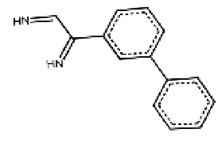 N=CC(=N)c1cccc(-c2ccccc2)c1